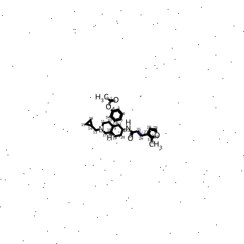 CC(=O)Oc1cccc([C@@]23CCN(CC4CC4)C[C@H]2CC[C@@H](NC(=O)/C=C/c2ccoc2C)C3)c1